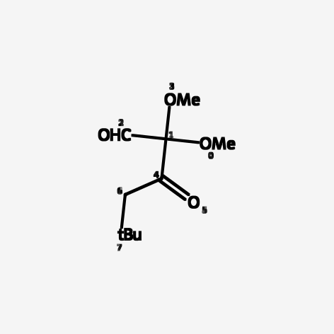 COC(C=O)(OC)C(=O)CC(C)(C)C